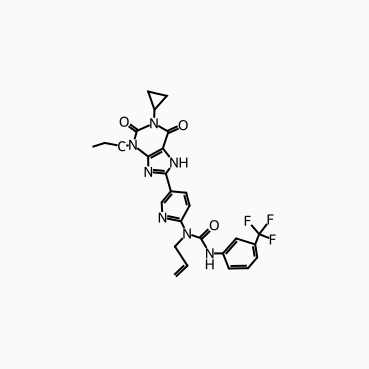 C=CCN(C(=O)Nc1cccc(C(F)(F)F)c1)c1ccc(-c2nc3c([nH]2)c(=O)n(C2CC2)c(=O)n3CCC)cn1